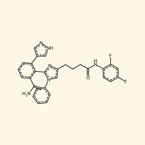 NC(=O)c1cccc(-c2cn[nH]c2)c1-c1nc(CCCC(=O)Nc2ccc(F)cc2F)cn1-c1ccccc1